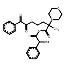 CC(CCOC(=O)C(=O)c1ccccc1)(C(=O)OC(=O)C(O)c1ccccc1)N1CCOCC1